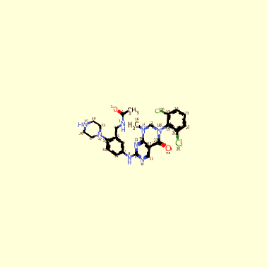 CC(=O)NCc1cc(Nc2ncc3c(n2)N(C)CN(c2c(Cl)cccc2Cl)C3=O)ccc1N1CCNCC1